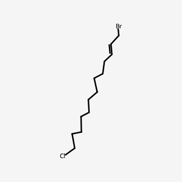 ClCCCCCCCCCCC=CCBr